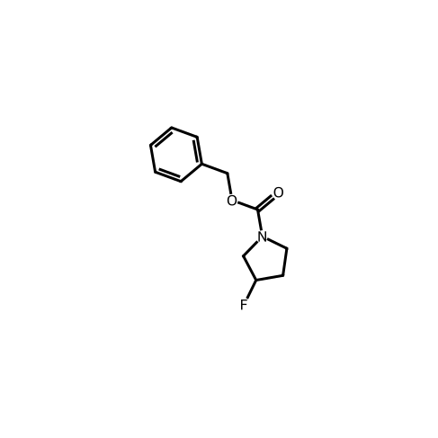 O=C(OCc1ccccc1)N1CCC(F)C1